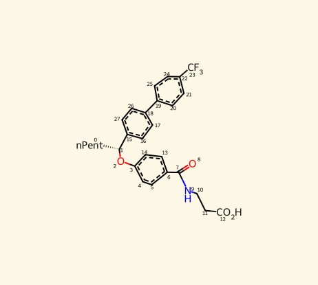 CCCCC[C@@H](Oc1ccc(C(=O)NCCC(=O)O)cc1)c1ccc(-c2ccc(C(F)(F)F)cc2)cc1